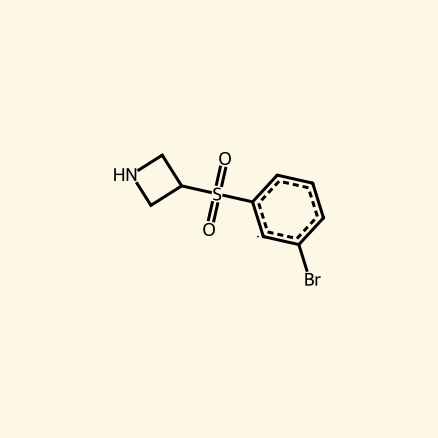 O=S(=O)(c1[c]c(Br)ccc1)C1CNC1